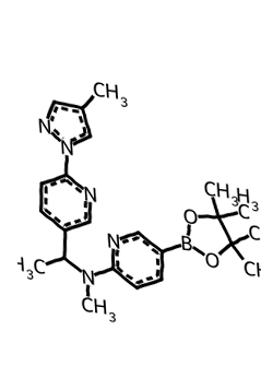 Cc1cnn(-c2ccc(C(C)N(C)c3ccc(B4OC(C)(C)C(C)(C)O4)cn3)cn2)c1